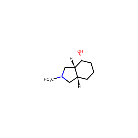 O=C(O)N1C[C@H]2CCC[C@@H](O)[C@H]2C1